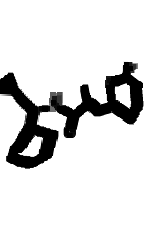 C/C(=C\c1cccc(Br)n1)C(=O)N[C@H](c1ccccc1)C1CC1